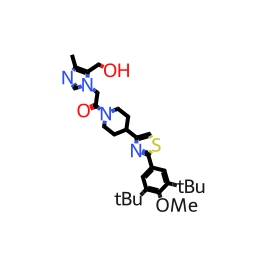 COc1c(C(C)(C)C)cc(-c2nc(C3CCN(C(=O)Cn4cnc(C)c4CO)CC3)cs2)cc1C(C)(C)C